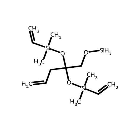 C=CCC(CO[SiH3])(O[Si](C)(C)C=C)O[Si](C)(C)C=C